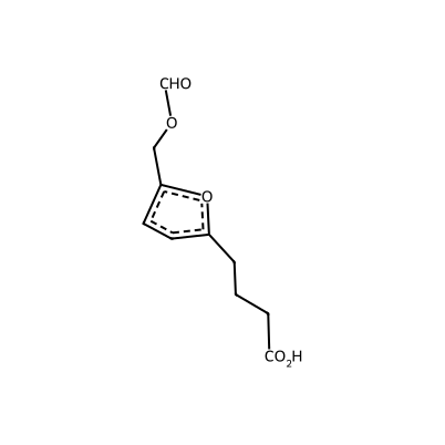 O=COCc1ccc(CCCC(=O)O)o1